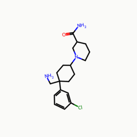 NCC1(c2cccc(Cl)c2)CCC(N2CCCC(C(N)=O)C2)CC1